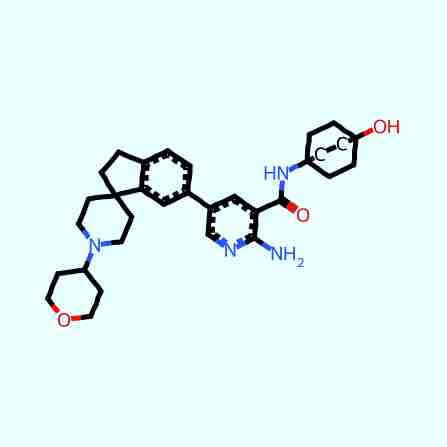 Nc1ncc(-c2ccc3c(c2)C2(CC3)CCN(C3CCOCC3)CC2)cc1C(=O)NC12CCC(O)(CC1)CC2